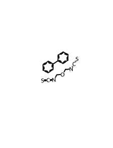 S=C=NCOCN=C=S.c1ccc(-c2ccccc2)cc1